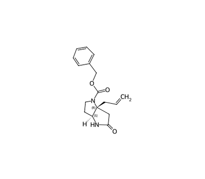 C=CC[C@@]12CC(=O)N[C@H]1CCN2C(=O)OCc1ccccc1